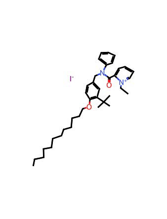 CCCCCCCCCCCCOc1ccc(CN(C(=O)c2cccc[n+]2CC)c2ccccc2)cc1C(C)(C)C.[I-]